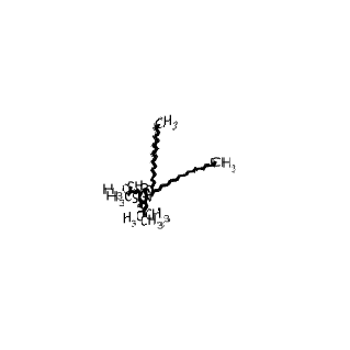 CCCCCCCCCCCCCCCCC(CCCCCCCCCCCCCC)CN1c2cc(C(C)(C)C)sc2-c2sc(C(C)(C)C)cc2S1(=O)=O